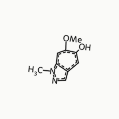 COc1cc2c(cnn2C)cc1O